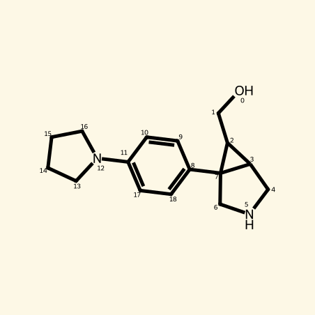 OCC1C2CNCC12c1ccc(N2CCCC2)cc1